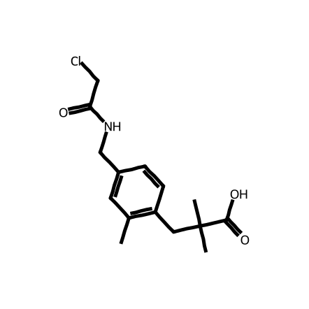 Cc1cc(CNC(=O)CCl)ccc1CC(C)(C)C(=O)O